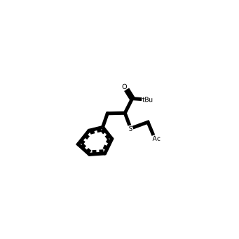 CC(=O)CSC(Cc1ccccc1)C(=O)C(C)(C)C